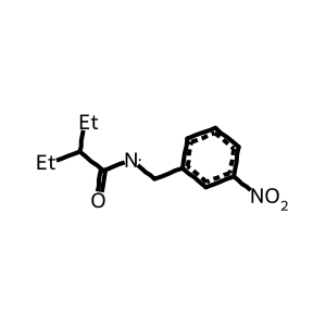 CCC(CC)C(=O)[N]Cc1cccc([N+](=O)[O-])c1